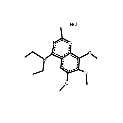 CCN(CC)c1nc(C)nc2c(OC)c(OC)c(OC)cc12.Cl